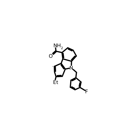 CCc1c[c]c2c3c(C(N)=O)cccc3n(Cc3cccc(F)c3)c2c1